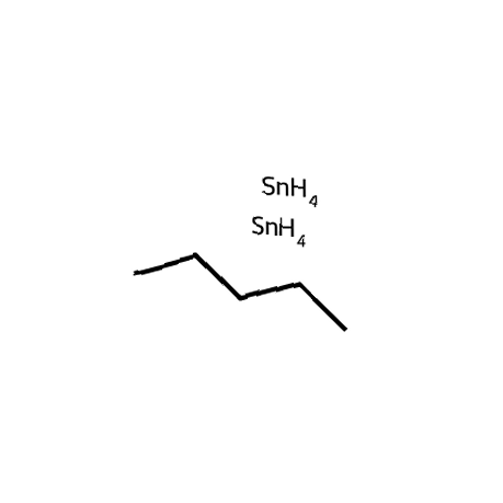 CCCCC.[SnH4].[SnH4]